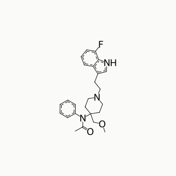 COCC1(N(C(C)=O)c2ccccc2)CCN(CCc2c[nH]c3c(F)cccc23)CC1